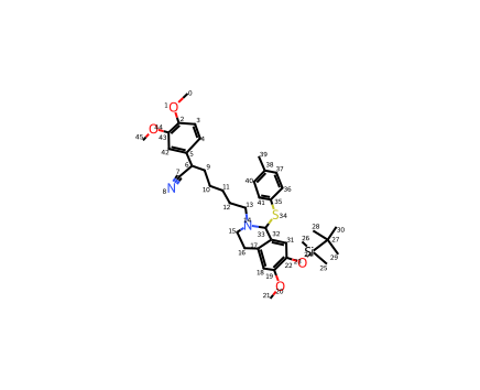 COc1ccc(C(C#N)CCCCCN2CCc3cc(OC)c(O[Si](C)(C)C(C)(C)C)cc3C2Sc2ccc(C)cc2)cc1OC